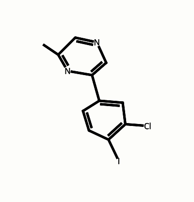 Cc1cncc(-c2ccc(I)c(Cl)c2)n1